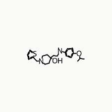 CC(C)Oc1ccc(N(C)CCC2(O)CCN(Cc3cccs3)CC2)cc1